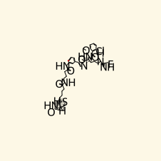 COc1cccc(Cl)c1C(=O)N[C@@H](CCCNC(=N)CF)c1ncc(-c2cccc(NC(=O)CCCNC(=O)CCCC[C@@H]3SC[C@@H]4CC(=O)N[C@@H]43)c2)o1